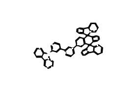 c1cc(-c2cccc(-n3c4ccccc4c4ccccc43)c2)cc(-c2ccc3c(c2)C2(c4ccccc4-c4ccccc42)c2ccccc2C32c3ccccc3-c3ccccc32)c1